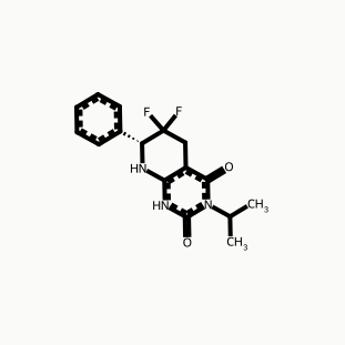 CC(C)n1c(=O)[nH]c2c(c1=O)CC(F)(F)[C@@H](c1ccccc1)N2